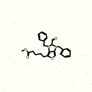 COC(=O)CCCCc1scc2c1N(Cc1ccccc1)C(C=O)N2Cc1ccccc1